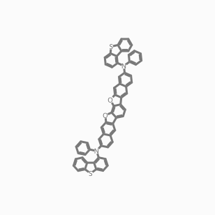 c1ccc(N(c2ccc3cc4c(cc3c2)oc2c4ccc3c4cc5ccc(N(c6ccccc6)c6cccc7sc8ccccc8c67)cc5cc4oc32)c2cccc3sc4ccccc4c23)cc1